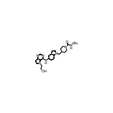 CC(C)(C)NC(=O)N1CCC(Cn2ccc3cc(Nc4ncnc5ccn(CCO)c45)ccc32)CC1